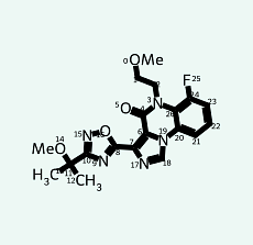 COCCn1c(=O)c2c(-c3nc(C(C)(C)OC)no3)ncn2c2cccc(F)c21